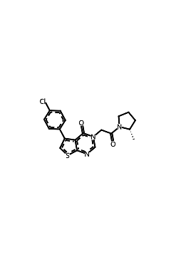 C[C@H]1CCCN1C(=O)Cn1cnc2scc(-c3ccc(Cl)cc3)c2c1=O